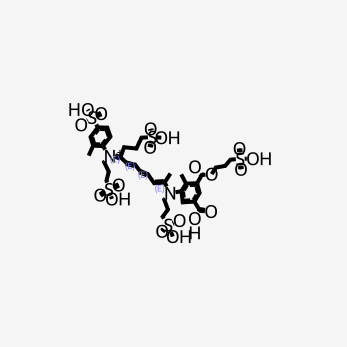 C\C(=C/C=C/C=C/C(CCCS(=O)(=O)O)=[N+](\CCCS(=O)(=O)O)c1ccc(S(=O)(=O)O)cc1C)N(CCCS(=O)(=O)O)c1cc(C(=O)O)cc(C(=O)OCCCS(=O)(=O)O)c1C